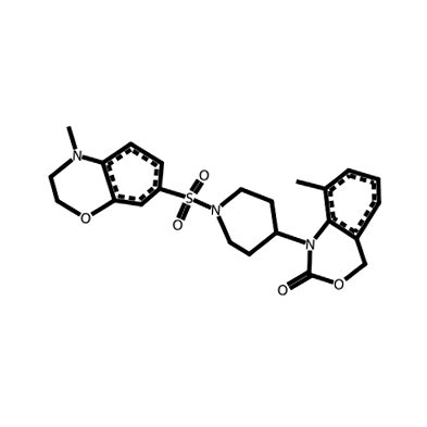 Cc1cccc2c1N(C1CCN(S(=O)(=O)c3ccc4c(c3)OCCN4C)CC1)C(=O)OC2